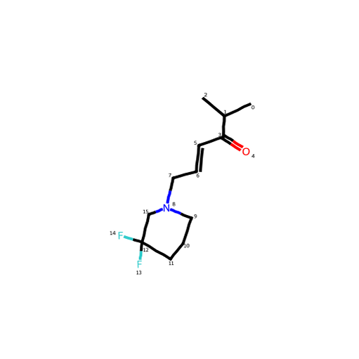 CC(C)C(=O)/C=C/CN1CCCC(F)(F)C1